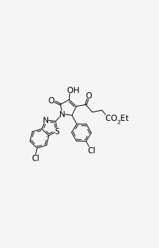 CCOC(=O)CCC(=O)C1=C(O)C(=O)N(c2nc3ccc(Cl)cc3s2)C1c1ccc(Cl)cc1